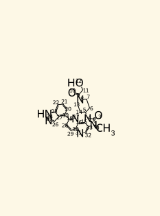 Cn1c(=O)n(C2CCN(C(=O)CO)CC2)c2c3nc(-c4cccc5[nH]ncc45)ccc3ncc21